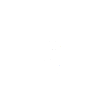 Cc1ccc2c(oc3sc4ccccc4c32)c1-c1cccc[n+]1C